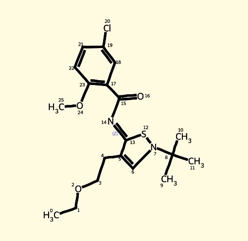 CCOCCc1cn(C(C)(C)C)s/c1=N\C(=O)c1cc(Cl)ccc1OC